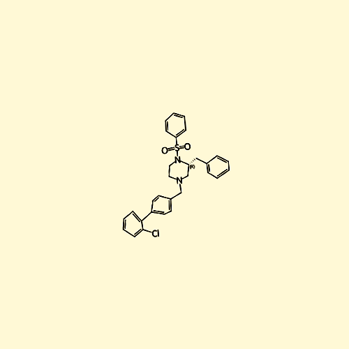 O=S(=O)(c1ccccc1)N1CCN(Cc2ccc(-c3ccccc3Cl)cc2)C[C@H]1Cc1ccccc1